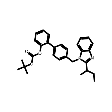 CCC(C)c1nc2ccccc2n1Cc1ccc(-c2ccccc2OC(=O)OC(C)(C)C)cc1